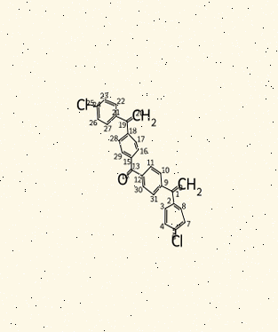 C=C(c1ccc(Cl)cc1)c1ccc(C(=O)c2ccc(C(=C)c3ccc(Cl)cc3)cc2)cc1